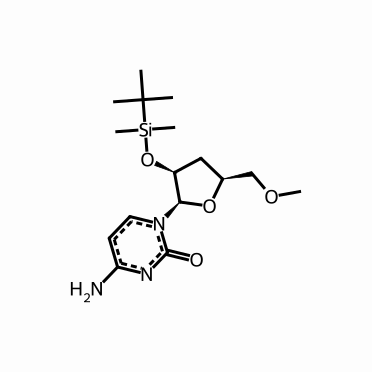 COC[C@@H]1C[C@H](O[Si](C)(C)C(C)(C)C)[C@H](n2ccc(N)nc2=O)O1